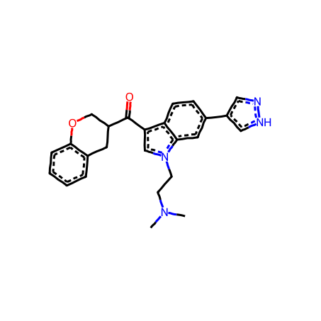 CN(C)CCn1cc(C(=O)C2COc3ccccc3C2)c2ccc(-c3cn[nH]c3)cc21